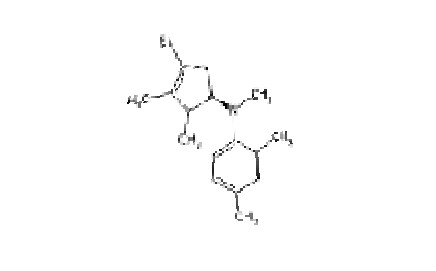 CCC1=C(C)C(C)[C@H](N(C)C2=CC=C(C)CC2C)C1